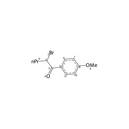 CCCC(Br)C(=O)c1ccc(OC)cc1